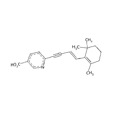 CC1=C(C=CC#Cc2ccc(C(=O)O)cn2)C(C)(C)CCC1